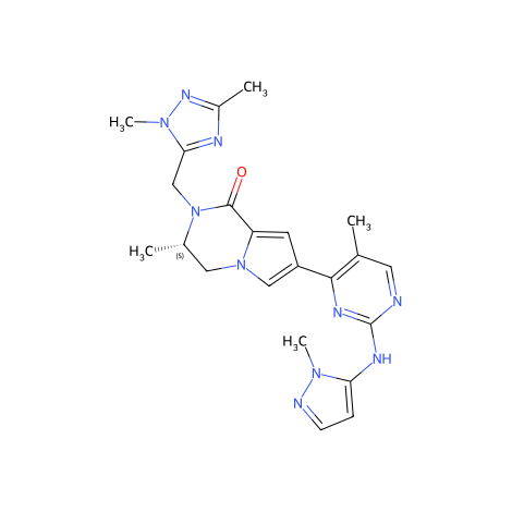 Cc1nc(CN2C(=O)c3cc(-c4nc(Nc5ccnn5C)ncc4C)cn3C[C@@H]2C)n(C)n1